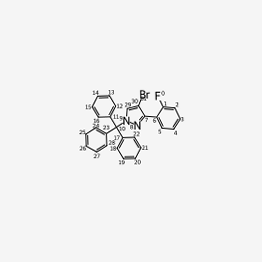 Fc1ccccc1-c1nn(C(c2ccccc2)(c2ccccc2)c2ccccc2)cc1Br